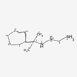 CC(C)(N[SiH2]C[SiH3])C1CCCCC1